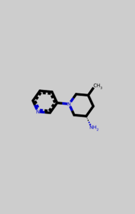 CC1C[C@H](N)CN(c2cccnc2)C1